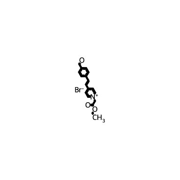 CCOC(=O)C[n+]1ccc(C=Cc2ccc(C=O)cc2)cc1.[Br-]